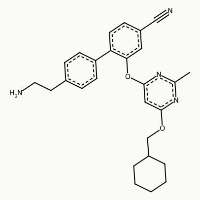 Cc1nc(OCC2CCCCC2)cc(Oc2cc(C#N)ccc2-c2ccc(CCN)cc2)n1